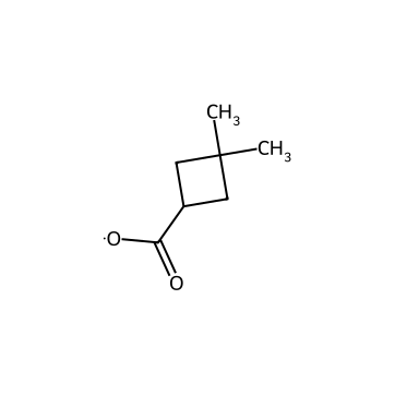 CC1(C)CC(C([O])=O)C1